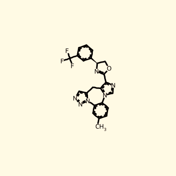 Cc1ccc2c(c1)-n1nncc1Cc1c(C3=N[C@@H](c4cccc(C(F)(F)F)c4)CO3)ncn1-2